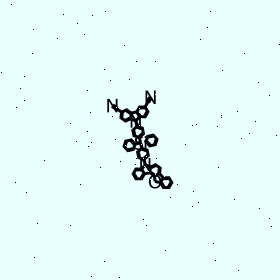 N#Cc1ccc2c(c1)c1cc(C#N)ccc1n2-c1ccc([Si](c2ccccc2)(c2ccccc2)c2ccc(-n3c4ccccc4c4c5oc6ccccc6c5ccc43)cc2)cc1